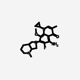 COc1c(N2CC3CCCN(C)C3C2)c(F)c(N)c2c(=O)c(C)cn(C3CC3)c12